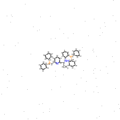 CC(Nc1ccccc1P(c1ccccc1)c1ccccc1)c1cccc(CP(c2ccccc2)c2ccccc2)n1